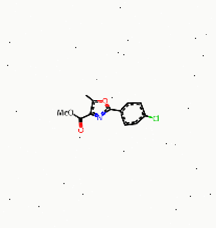 COC(=O)c1nc(-c2ccc(Cl)cc2)oc1C